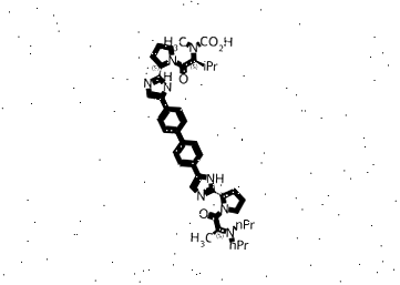 CCCN(CCC)[C@@H](C)C(=O)N1CCC[C@H]1c1ncc(-c2ccc(-c3ccc(-c4cnc([C@@H]5CCCN5C(=O)[C@H](C(C)C)N(C)C(=O)O)[nH]4)cc3)cc2)[nH]1